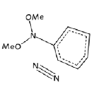 CON(OC)c1ccccc1.N#N